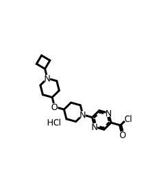 Cl.O=C(Cl)c1cnc(N2CCC(OC3CCN(C4CCC4)CC3)CC2)cn1